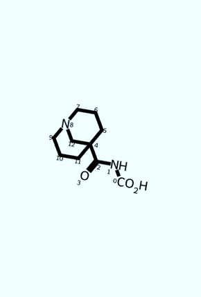 O=C(O)NC(=O)C12CCCN(CCC1)C2